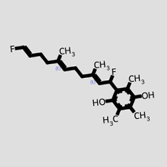 C/C(=C\CC/C(C)=C/C(F)c1c(C)c(O)c(C)c(C)c1O)CCC=CF